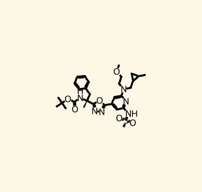 COCCN(CC1CC1C)c1cc(-c2nnc([C@@](C)(Cc3ccccc3)NC(=O)OC(C)(C)C)o2)cc(NS(C)(=O)=O)n1